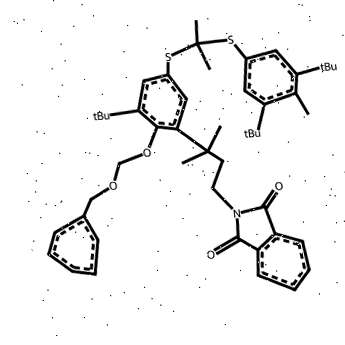 Cc1c(C(C)(C)C)cc(SC(C)(C)Sc2cc(C(C)(C)C)c(OCOCc3ccccc3)c(C(C)(C)CCN3C(=O)c4ccccc4C3=O)c2)cc1C(C)(C)C